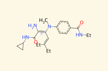 CCNC(=O)c1ccc(N(C)/C(C=C(CC)CC)=C(\N)C(=O)NC2CC2)cc1